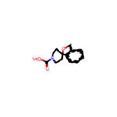 O=C(O)N1CCC2(CC1)OCc1ccccc12